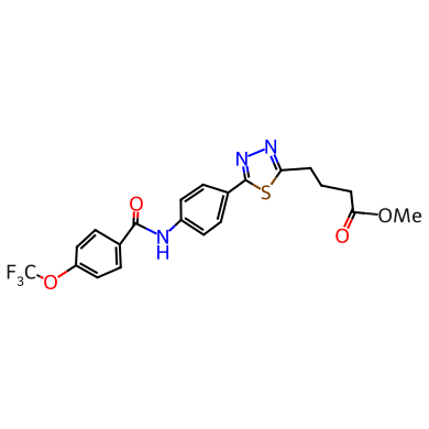 COC(=O)CCCc1nnc(-c2ccc(NC(=O)c3ccc(OC(F)(F)F)cc3)cc2)s1